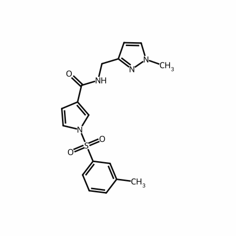 Cc1cccc(S(=O)(=O)n2ccc(C(=O)NCc3ccn(C)n3)c2)c1